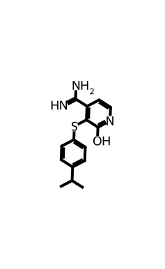 CC(C)c1ccc(Sc2c(C(=N)N)ccnc2O)cc1